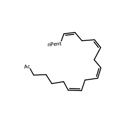 CCCCC/C=C\C/C=C\C/C=C\C/C=C\CCCCC(C)=O